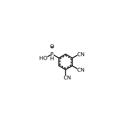 N#Cc1cc([PH](=O)O)cc(C#N)c1C#N